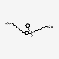 CCCCCCCCCCCCCCCCCCOC(=O)c1ccc(CCCCCCCCCCCCCCCCCC)cc1Oc1ccccc1